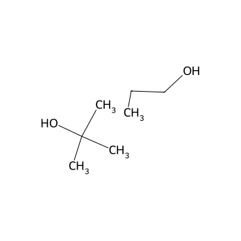 CC(C)(C)O.CCCO